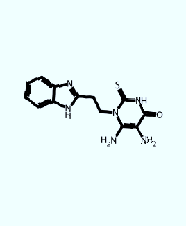 Nc1c(N)n(CCc2nc3ccccc3[nH]2)c(=S)[nH]c1=O